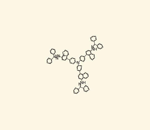 c1ccc(C(=NNc2ccc(-c3ccc(N(c4ccc(-c5ccc(NN=C(c6ccccc6)c6ccccc6)c6ccccc56)cc4)c4ccc(-c5ccc(NN=C(c6ccccc6)c6ccccc6)c6ccccc56)cc4)cc3)c3ccccc23)c2ccccc2)cc1